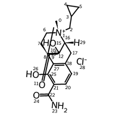 C[N@+]1(CC2CC2)CC[C@]23CC(=O)CCC2(O)[C@H]1Cc1ccc(C(N)=O)c(O)c13.[Cl-]